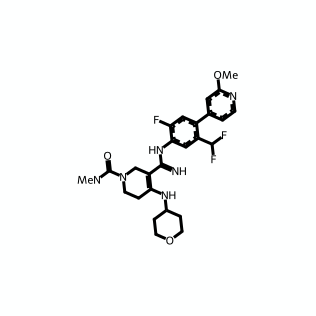 CNC(=O)N1CCC(NC2CCOCC2)=C(C(=N)Nc2cc(C(F)F)c(-c3ccnc(OC)c3)cc2F)C1